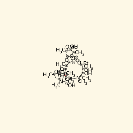 CC[C@H]1OC(=O)[C@H](C)[C@@H](O[C@H]2C[C@@](C)(OC)[C@@H](O)[C@H](C)O2)[C@H](C)[C@@H](O[C@@H]2O[C@H](C)C[C@@H](N(C)CCO)[C@@H]2N(C)C)[C@](C)(O)C[C@@H](C)CN(C)[C@H](C)[C@@H](O)[C@]1(C)O